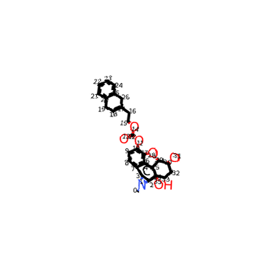 CN1C2C13CC14c5c3ccc(OC(=O)OCCC3=CCc6ccccc6C3)c5OC1C(=O)CCC24O